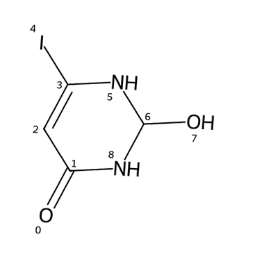 O=C1C=C(I)NC(O)N1